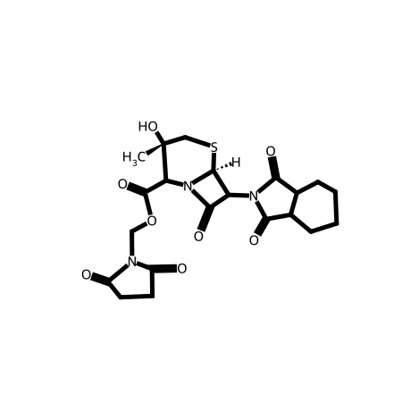 C[C@@]1(O)CS[C@H]2C(N3C(=O)C4CCCCC4C3=O)C(=O)N2C1C(=O)OCN1C(=O)CCC1=O